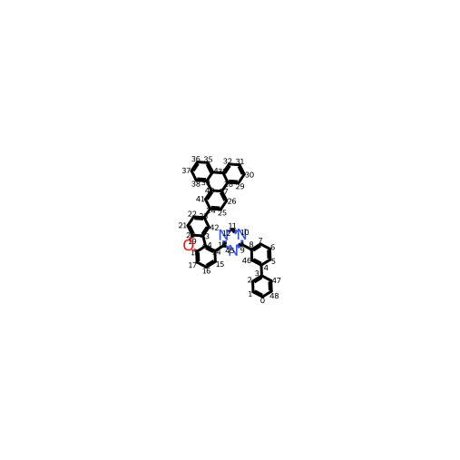 c1ccc(-c2cccc(-c3ncnc(-c4cccc5oc6ccc(-c7ccc8c9ccccc9c9ccccc9c8c7)cc6c45)n3)c2)cc1